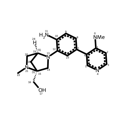 CNc1ccncc1-c1ccc(N)c(N2C[C@]3(CO)C[C@H]2CN3C)c1